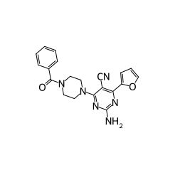 N#Cc1c(-c2ccco2)nc(N)nc1N1CCN(C(=O)c2ccccc2)CC1